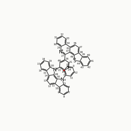 c1ccc(-n2c3ccccc3c3ccc4c5ccccc5n(-c5cccc(-c6nc7ccccc7c7ccc8c9ccccc9sc8c67)c5)c4c32)cc1